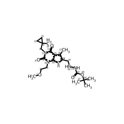 COCCn1c(=O)n(CC2(C)CC2)c(=O)c2c(C)c(CNNC(=O)OC(C)(C)C)sc21